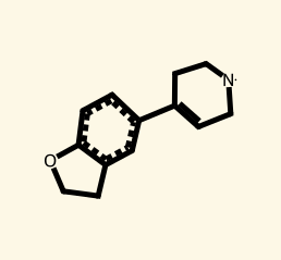 C1=C(c2ccc3c(c2)CCO3)CC[N]C1